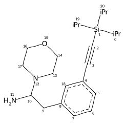 CC(C)[Si](C#Cc1cccc(CC(N)N2CCOCC2)c1)(C(C)C)C(C)C